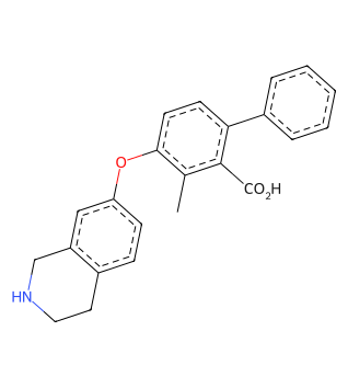 Cc1c(Oc2ccc3c(c2)CNCC3)ccc(-c2ccccc2)c1C(=O)O